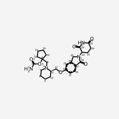 NC(=O)OC1(CN2CCCC[C@@H]2COc2ccc3c(c2)CN(C2CCC(=O)NC2=O)C3=O)CCCC1